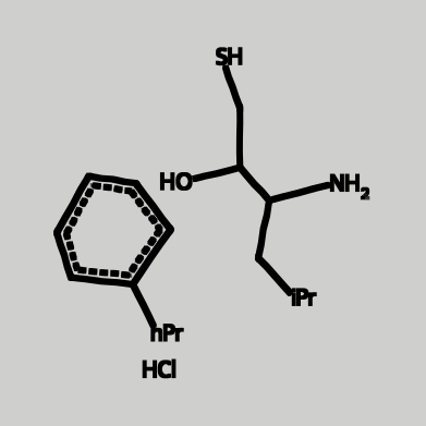 CC(C)CC(N)C(O)CS.CCCc1ccccc1.Cl